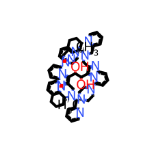 CN1CCN(c2cccc3nc(CN(Cc4ccccn4)[C@H]4CCCc5cccnc54)c(C(O)C(O)c4c(CN(Cc5ccccn5)[C@H]5CCCc6cccnc65)nc5cccc(N6CCN(C)CC6)n45)n23)CC1